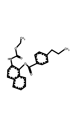 CCCc1ccc(C(=O)Oc2c(NC(=O)OCC)ccc3ccccc23)cc1